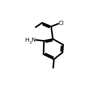 C/C=C(/Cl)c1ccc(C)cc1N